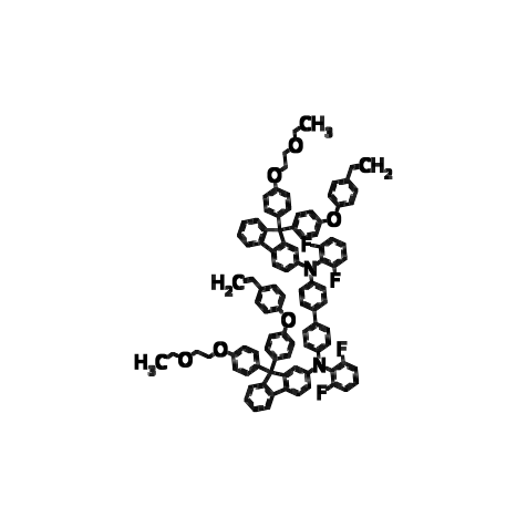 C=Cc1ccc(Oc2ccc(C3(c4ccc(OCCOCC)cc4)c4ccccc4-c4ccc(N(c5ccc(-c6ccc(N(c7ccc8c(c7)C(c7ccc(OCCOCC)cc7)(c7ccc(Oc9ccc(C=C)cc9)cc7)c7ccccc7-8)c7c(F)cccc7F)cc6)cc5)c5c(F)cccc5F)cc43)cc2)cc1